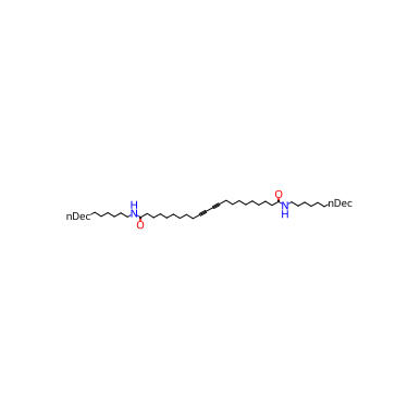 CCCCCCCCCCCCCCCCNC(=O)CCCCCCCCC#CC#CCCCCCCCCC(=O)NCCCCCCCCCCCCCCCC